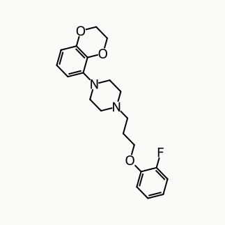 Fc1ccccc1OCCCN1CCN(c2cccc3c2OCCO3)CC1